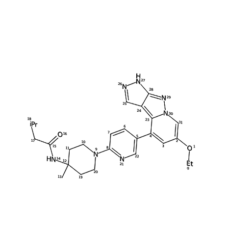 CCOc1cc(-c2ccc(N3CCC(C)(NC(=O)CC(C)C)CC3)nc2)c2c3cn[nH]c3nn2c1